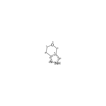 [c]1[nH]nc2c1COCC2